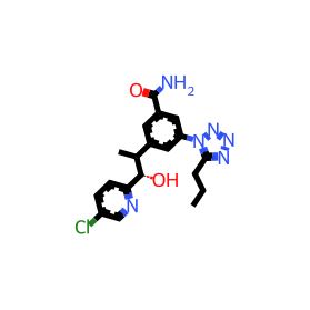 CCCc1nnnn1-c1cc(C(N)=O)cc(C(C)[C@H](O)c2ccc(Cl)cn2)c1